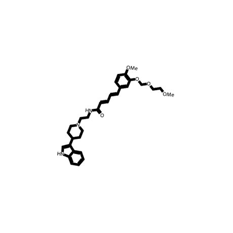 COCCOCOc1cc(C=CC=CC(=O)NCCN2CCC(c3c[nH]c4ccccc34)CC2)ccc1OC